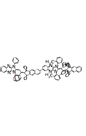 C/C(C=C1C(=O)c2cc3ccccc3cc2C1=O)=C1\N(c2c(C)cccc2C)c2nc3ccc(-c4ccc5cc6c(cc5c4)C(=O)/C(=C(\C=C4N(c5ccccc5)c5nc7ccccc7nc5N4c4ccccc4)c4ccccc4)C6=O)cc3nc2N1c1c(C)cccc1C